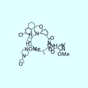 COc1nn(C)cc1C(=O)N[S@@]1(=O)=NC(=O)c2ccc3c(c2)N(C[C@@H]2CC[C@H]2[C@@](CN2CCN(C4COC4)CC2)(OC)/C=C/C[C@H](C)C1)C[C@@]1(CCCc2cc(Cl)ccc21)CO3